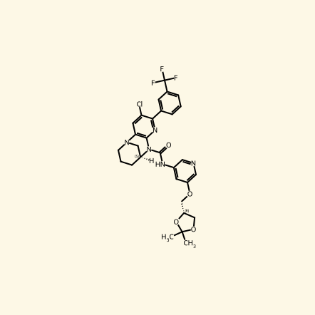 CC1(C)OC[C@@H](COc2cncc(NC(=O)N3c4nc(-c5cccc(C(F)(F)F)c5)c(Cl)cc4N4CCC[C@H]3C4)c2)O1